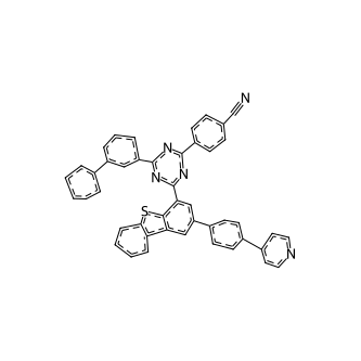 N#Cc1ccc(-c2nc(-c3cccc(-c4ccccc4)c3)nc(-c3cc(-c4ccc(-c5ccncc5)cc4)cc4c3sc3ccccc34)n2)cc1